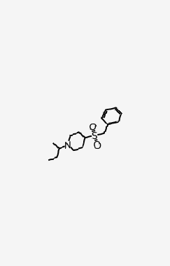 CCC(C)N1CCC(S(=O)(=O)Cc2ccccc2)CC1